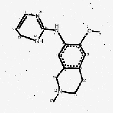 COc1cc2c(cc1NC1=NC=CCN1)CN(C)CC2